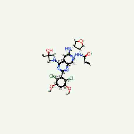 C=CC(=O)N[C@H]1COC[C@H]1Nc1cc2c(N3CC(C)(O)C3)nc(-c3c(Cl)c(OC)cc(OC)c3Cl)nc2cn1